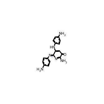 NC1=N/C(=N\c2ccc(N)cc2)C(Nc2ccc(N)cc2)=CC1=O